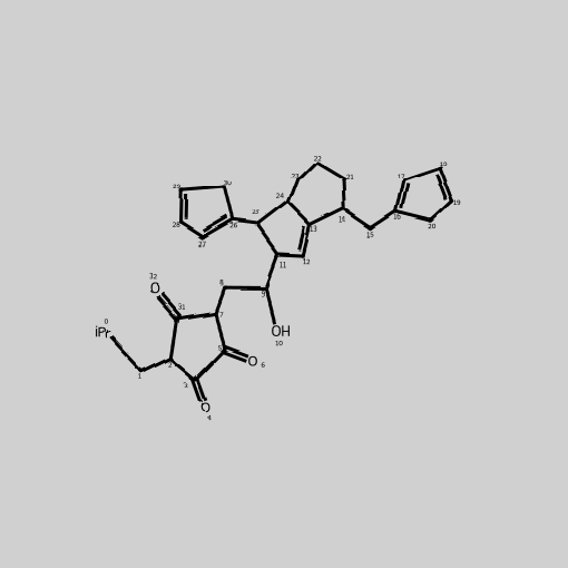 CC(C)CC1C(=O)C(=O)C(CC(O)C2C=C3C(CC4=CC=CC4)CCCC3C2C2=CC=CC2)C1=O